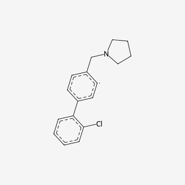 Clc1ccccc1-c1c[c]c(CN2CCCC2)cc1